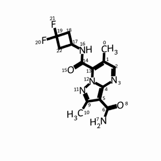 Cc1cnc2c(C(N)=O)c(C)nn2c1C(=O)NC1CC(F)(F)C1